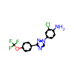 Nc1ccc(-n2cnc(-c3ccc(OC(F)(F)F)cc3)n2)cc1Cl